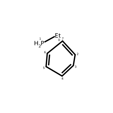 CCP.c1ccccc1